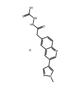 Cn1cc(-c2cnc3ccc(CC(=O)NNC(=S)S)cc3c2)cn1.[K]